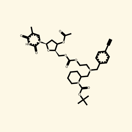 C#Cc1ccc(CN(CCOC(=O)OC[C@H]2O[C@@H](n3cc(C)c(=O)[nH]c3=O)CC2OC(C)=O)CC2CCCCN2C(=O)OC(C)(C)C)cc1